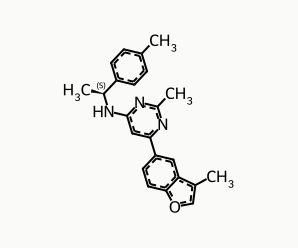 Cc1ccc([C@H](C)Nc2cc(-c3ccc4occ(C)c4c3)nc(C)n2)cc1